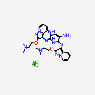 CN(C)CCOc1nn2ccccc2c1N=C1NC(=Nc2c(OCCN(C)C)nn3ccccc23)C(N)=CC1=N.Cl.Cl